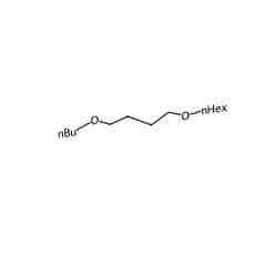 CCCCCCOCCCCOCCCC